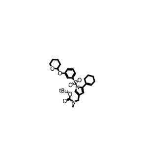 CN(Cc1cc(C2=CCCCC2)n(S(=O)(=O)c2cccc(OC3CCCCO3)c2)c1)C(=O)OC(C)(C)C